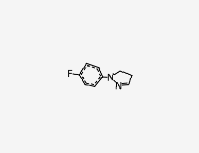 Fc1ccc(N2CCC=N2)cc1